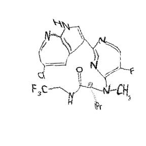 CC(C)[C@H](C(=O)NCC(F)(F)F)N(C)c1nc(-c2c[nH]c3ncc(Cl)cc23)ncc1F